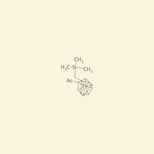 CC(=O)[C]12[CH]3[CH]4[CH]5[CH]1[Fe]45321678[CH]2[CH]1[CH]6[C]7(C[Si](C)(C)C)[CH]28